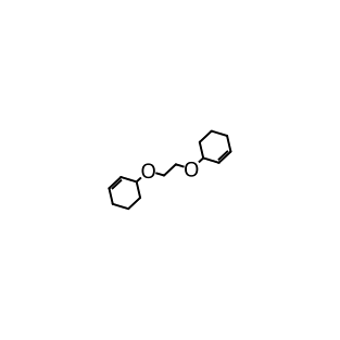 C1=CC(OCCOC2C=CCCC2)CCC1